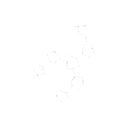 CC1(C)COC(c2cccc(-c3nc(-c4cccc(C5=NC(C)(C)CO5)c4)nc(-c4cccc(C5=NC(C)(C)CO5)c4)n3)c2)=N1